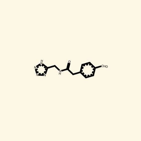 O=Cc1ccc(CC(=O)NCc2nnn[nH]2)cc1